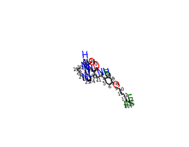 O=c1[nH]c(-c2ccc(OCCCCCC(F)(F)F)cc2F)cc(-c2ccn(CC3CC3)n2)c1-n1nn[nH]c1=O